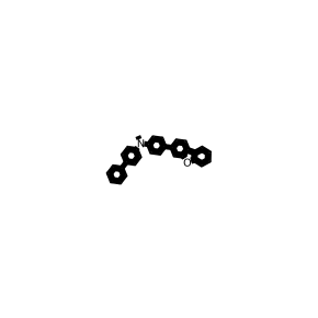 CN(c1ccc(-c2ccccc2)cc1)c1ccc(-c2ccc3c(c2)oc2ccccc23)cc1